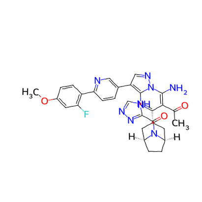 COc1ccc(-c2ccc(-c3cnn4c(N)c(C(C)=O)c([C@@H]5C[C@H]6CC[C@@H](C5)N6C(=O)c5nnc[nH]5)nc34)cn2)c(F)c1